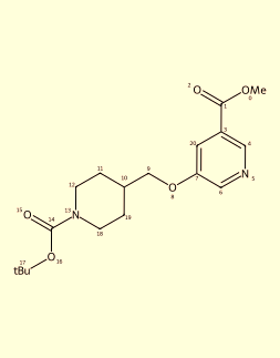 COC(=O)c1cncc(OCC2CCN(C(=O)OC(C)(C)C)CC2)c1